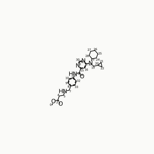 COC(=O)CCNCc1ccc(NC(=O)c2cc(N(CC3CC3)C3CCCCC3)ncn2)cc1